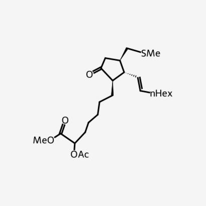 CCCCCCC=C[C@H]1[C@H](CSC)CC(=O)[C@@H]1CCCCCC(OC(C)=O)C(=O)OC